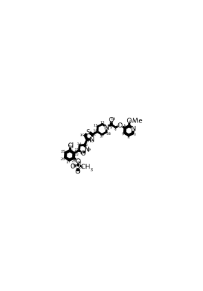 COc1ncccc1OCC(=O)N1CCC(c2nc(C3=NOC(c4c(Cl)cccc4OS(C)(=O)=O)C3)cs2)CC1